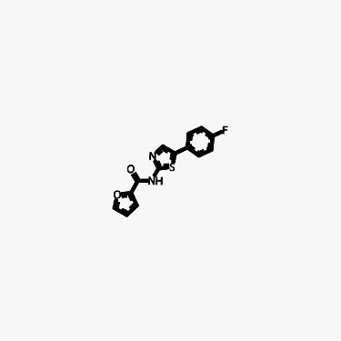 O=C(Nc1ncc(-c2ccc(F)cc2)s1)c1ccco1